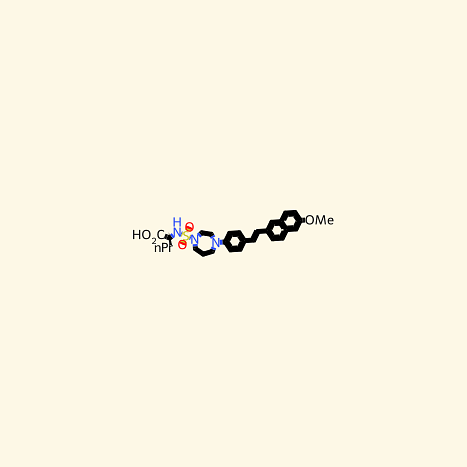 CCC[C@H](NS(=O)(=O)N1CCCN(c2ccc(/C=C/c3ccc4cc(OC)ccc4c3)cc2)CC1)C(=O)O